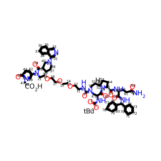 CC(C)(C)OC(=O)N[C@H]1CN(C(=O)NCCOCCOCCOCCN(C(=O)[C@H]2CCCN(c3cncc4ccccc34)C2)c2ccc(=O)n(CC(=O)O)c2)CC[C@H]2CC[C@@H](C(=O)N[C@@H](CCC(N)=O)C(=O)NC(c3ccccc3)c3ccccc3)N2C1=O